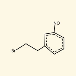 O=Nc1cccc(CCBr)c1